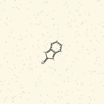 [Au-]=[C]1N=c2ccccc2=N1